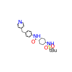 CC(C)(C)S(=O)(=O)N[C@H]1CC[C@H](C(=O)Nc2ccc(Cc3ccncc3)cc2)CC1